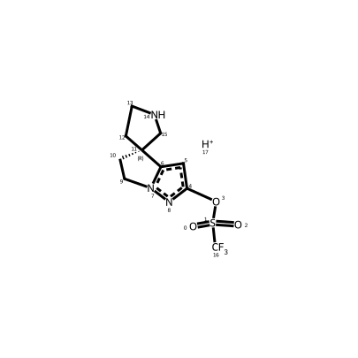 O=S(=O)(Oc1cc2n(n1)CC[C@@]21CCNC1)C(F)(F)F.[H+]